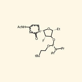 CC[C@H]1O[C@@H](n2ccc(NC(C)=O)nc2=O)[C@@H](F)C1OP(OCCC(C)(C)C)N(C(C)C)C(C)C